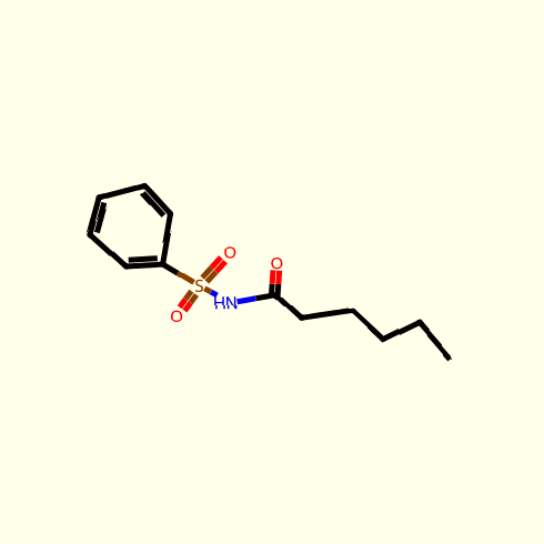 CCCCCC(=O)NS(=O)(=O)c1ccccc1